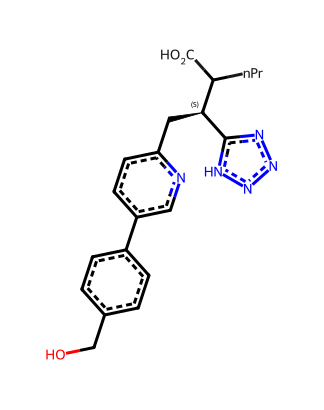 CCCC(C(=O)O)[C@H](Cc1ccc(-c2ccc(CO)cc2)cn1)c1nnn[nH]1